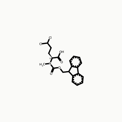 CN(C(=O)OCC1c2ccccc2-c2ccccc21)[C@@H](CCC(Cl)Cl)C(=O)O